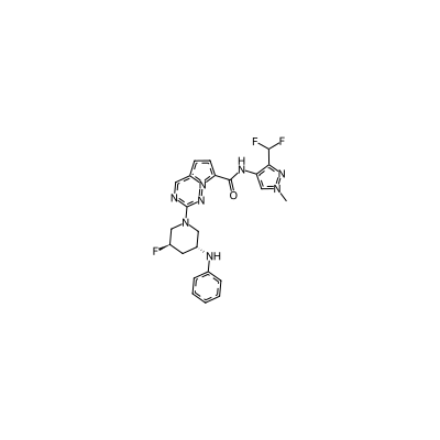 Cn1cc(NC(=O)c2ccc3cnc(N4C[C@H](F)C[C@@H](Nc5ccccc5)C4)nn23)c(C(F)F)n1